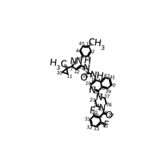 Cc1ccc(-n2nc(C3(C)CC3)cc2NC(=O)Nc2cnc(N3CCN(C(=O)c4c(F)cccc4F)CC3)c3ccccc23)cc1